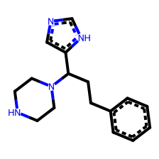 c1ccc(CCC(c2cnc[nH]2)N2CCNCC2)cc1